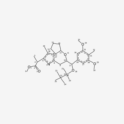 COC(=O)C(C)c1nc(CC(OC2CCCC2)C(O[Si](C)(C)C(C)(C)C)c2cc(OC)c(C)c(OC)c2)sc1C